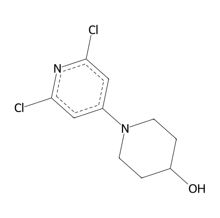 OC1CCN(c2cc(Cl)nc(Cl)c2)CC1